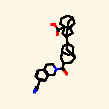 N#Cc1ccc2c(c1)CN(C(=O)C1CC3CC4CC(C56CC7CCCC(C(=O)O)(C5)C(C7)C6)(C3)CC4C1)CC2